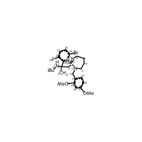 CCC(C)N[C@@](C)(CS1(=O)=NCCCCN1Cc1ccc(OC)cc1OC)c1nc(Br)ccc1F